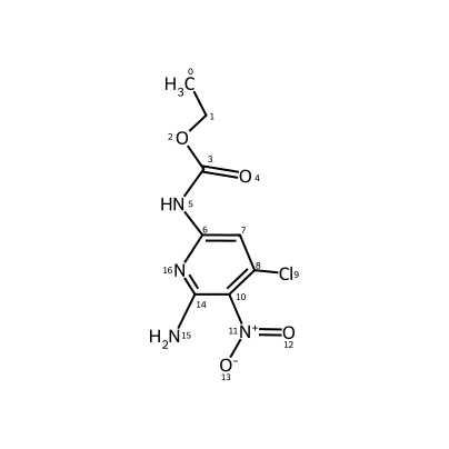 CCOC(=O)Nc1cc(Cl)c([N+](=O)[O-])c(N)n1